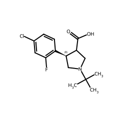 CC(C)(C)N1CC(C(=O)O)[C@H](c2ccc(Cl)cc2F)C1